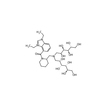 CCn1c[n+](CC)c2c(C(=O)N3CCCCC3CN(C[C@H](O)[C@@H](O)[C@H](O)[C@H](O)CO)C[C@H](O)[C@@H](O)[C@H](O)[C@H](O)CO)cccc21